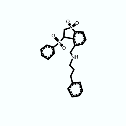 O=S1(=O)CC(S(=O)(=O)c2ccccc2)c2c(CNCCCc3ccccc3)cccc21